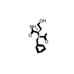 CC(=O)N(Cc1ccccc1)[C@H](CCO)C(N)=O